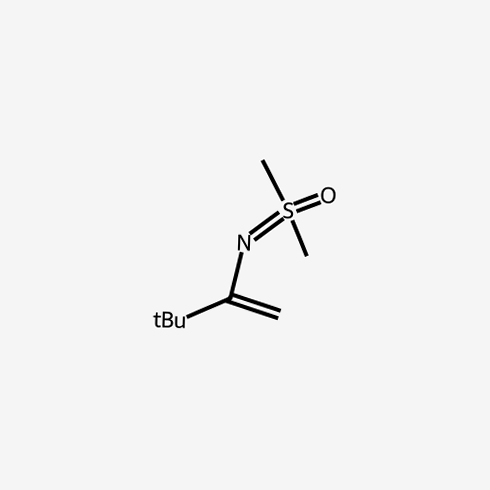 C=C(N=S(C)(C)=O)C(C)(C)C